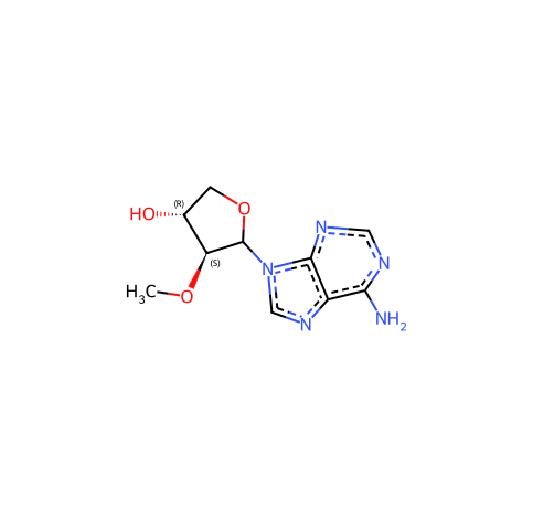 CO[C@@H]1C(n2cnc3c(N)ncnc32)OC[C@H]1O